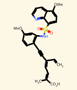 C=C/C(C#Cc1ccc(OC)cc1NS(=O)(=O)c1ccc(OC)c2cccnc12)=C\C=C(/C)C(=O)O